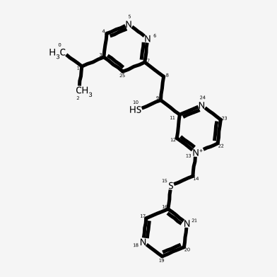 CC(C)c1cnnc(CC(S)c2c[n+](CSc3cnccn3)ccn2)c1